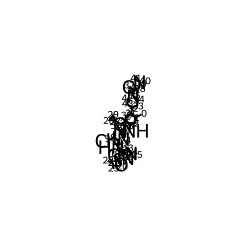 Cc1cc(Nc2ncc(Cl)c(Nc3cn(C)nc3S(=O)(=O)C(C)C)n2)c(OC2CC2)cc1C1CCN(C(=O)CN(C)C)CC1